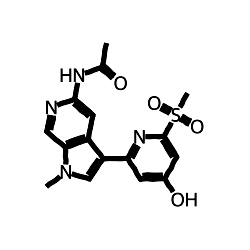 CC(=O)Nc1cc2c(-c3cc(O)cc(S(C)(=O)=O)n3)cn(C)c2cn1